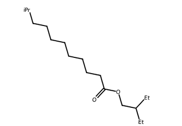 CCC(CC)COC(=O)CCCCCCCCC(C)C